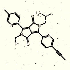 CC#Cc1ccc(C2=C3C(=O)N(CC(C)C)C(c4ccc(C)cn4)=C3C(=O)N2CC(C)N)nc1